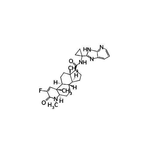 CN1C(=O)C(F)=C[C@]2(C)[C@H]3CC[C@]4(C)[C@@H](C(=O)NC5(c6nc7cccnc7[nH]6)CC5)CC[C@H]4[C@@H]3CC[C@@H]12